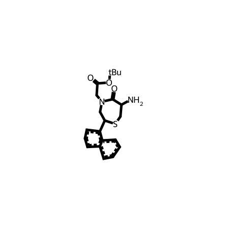 CC(C)(C)OC(=O)CN1CC(c2cccc3ccccc23)SCC(N)C1=O